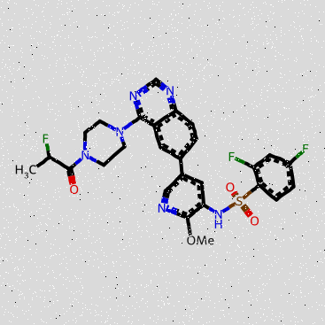 COc1ncc(-c2ccc3ncnc(N4CCN(C(=O)C(C)F)CC4)c3c2)cc1NS(=O)(=O)c1ccc(F)cc1F